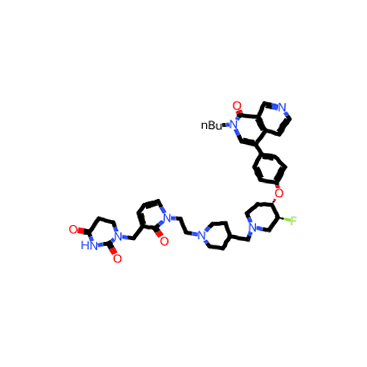 CCCCn1cc(-c2ccc(O[C@H]3CCN(CC4CCN(CCn5cccc(CN6CCC(=O)NC6=O)c5=O)CC4)C[C@@H]3F)cc2)c2ccncc2c1=O